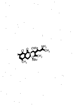 C=C(OCCCC)/C(CN1CCc2c(C)cc(I)c(Cl)c2C1=O)=C(\C=C(\C)N)OC